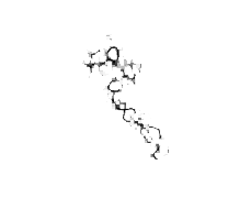 C=CC(=O)N1CCCN(S(=O)(=O)N2CCC3(CC2)CN(C[C@@H]2CCN(c4ncnnc4Oc4ccc(F)cc4C(=O)N(C(C)C)C(C)C)C2)C3)CC1